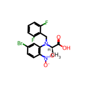 C[C@H](C(=O)O)N(Cc1c(F)cccc1F)c1cc(Br)ccc1[N+](=O)[O-]